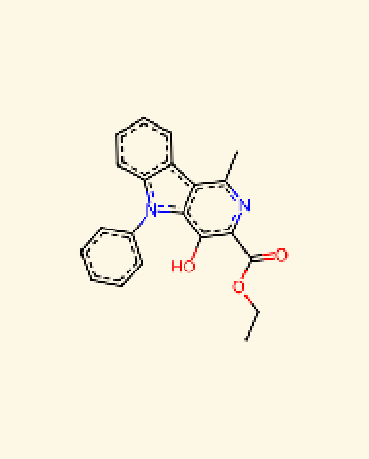 CCOC(=O)c1nc(C)c2c3ccccc3n(-c3ccccc3)c2c1O